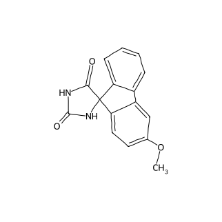 COc1ccc2c(c1)-c1ccccc1C21NC(=O)NC1=O